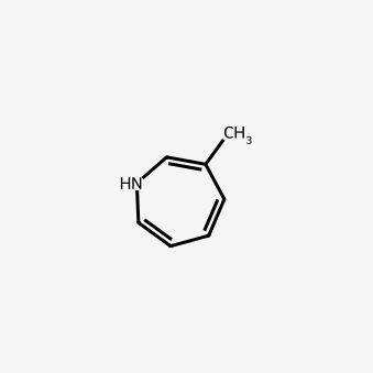 CC1=CNC=CC=C1